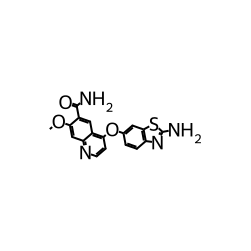 COc1cc2nccc(Oc3ccc4nc(N)sc4c3)c2cc1C(N)=O